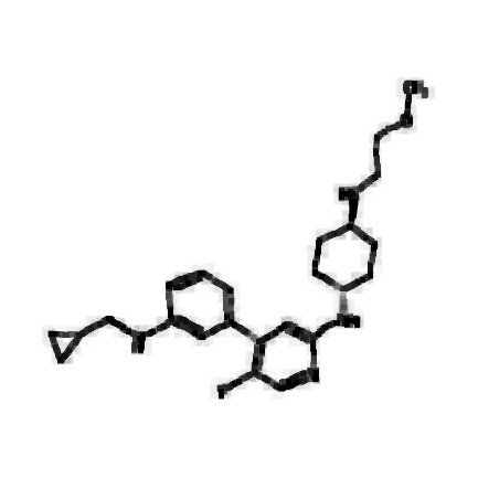 COCCN[C@H]1CC[C@H](Nc2cc(-c3cccc(NCC4CC4)c3)c(F)cn2)CC1